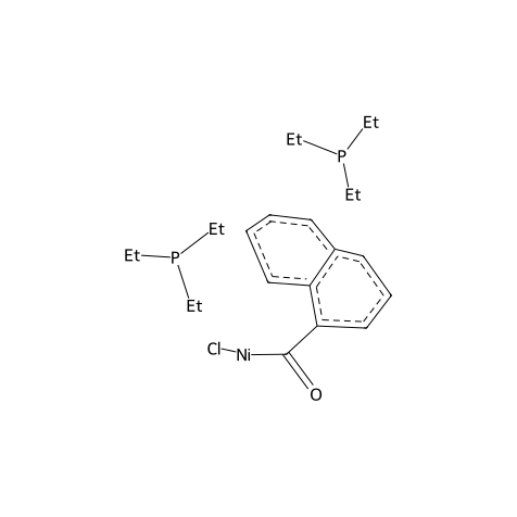 CCP(CC)CC.CCP(CC)CC.O=[C]([Ni][Cl])c1cccc2ccccc12